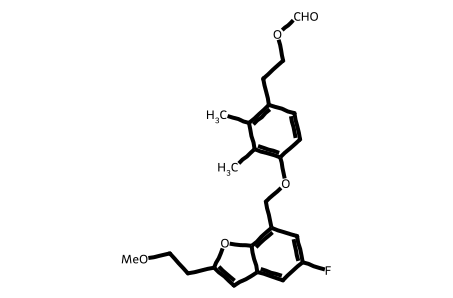 COCCc1cc2cc(F)cc(COc3ccc(CCOC=O)c(C)c3C)c2o1